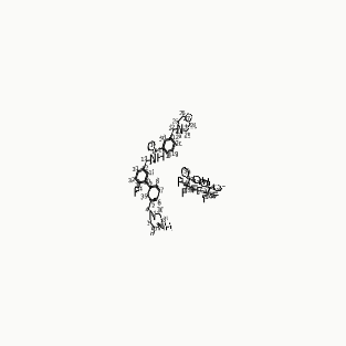 C[C@H]1CN(Cc2cccc(-c3cc(CNC(=O)c4cccc(C[N+]5(C)CCOCC5)c4)ccc3F)c2)CCN1.O=C(O)C(F)(F)F.O=C([O-])C(F)(F)F